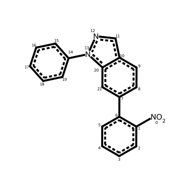 O=[N+]([O-])c1ccccc1-c1ccc2cnn(-c3ccccc3)c2c1